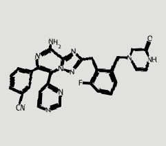 N#Cc1cccc(-c2nc(N)c3nc(Cc4c(F)cccc4CN4CCNC(=O)C4)nn3c2-c2ccncn2)c1